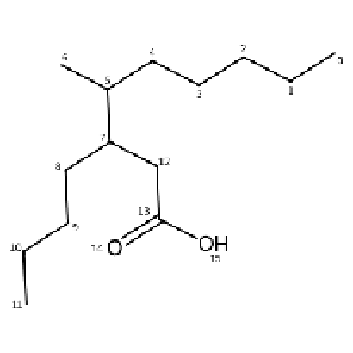 CCCCCC(C)C(CCCC)CC(=O)O